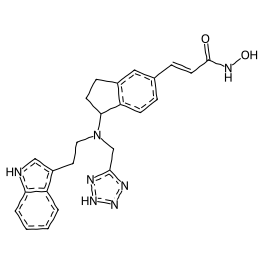 O=C(C=Cc1ccc2c(c1)CCC2N(CCc1c[nH]c2ccccc12)Cc1nn[nH]n1)NO